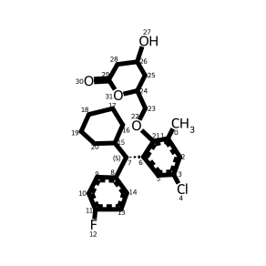 Cc1cc(Cl)cc([C@H](c2ccc(F)cc2)C2CCCCC2)c1OCC1CC(O)CC(=O)O1